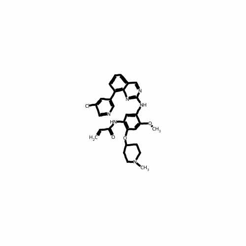 C=CC(=O)Nc1cc(Nc2ncc3cccc(-c4cncc(Cl)c4)c3n2)c(OC)cc1OC1CCN(C)CC1